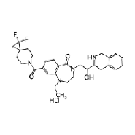 CCN1CCN(CC(O)C2Cc3ccccc3CN2)C(=O)c2ccc(C(=O)N3CCC4(CC3)CC4(F)F)cc21.Cl